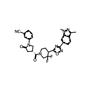 Cc1nn(C)c2cc(-c3noc(C4CCN(C(=O)[C@@H]5CC(=O)N(c6cccc(C#N)c6)C5)CC4(F)F)n3)ccc12